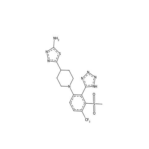 CS(=O)(=O)c1c(C(F)(F)F)ccc(N2CCC(c3nnc(N)s3)CC2)c1-c1nnn[nH]1